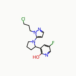 Oc1ncc(F)cc1C1CCCN1c1ccnn1CCCCl